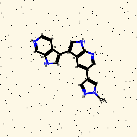 Cn1cc(-c2cnc3[nH]cc(-c4c[nH]c5cnccc45)c3c2)cn1